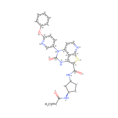 C=CC(=O)N[C@@H]1CCC(NC(=O)c2sc3nccc4c3c2NC(=O)N4c2ccc(Oc3ccccc3)nc2)C1